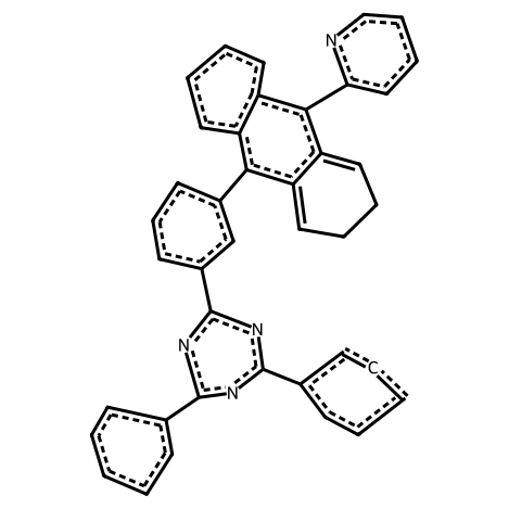 C1=c2c(-c3cccc(-c4nc(-c5ccccc5)nc(-c5ccccc5)n4)c3)c3ccccc3c(-c3ccccn3)c2=CCC1